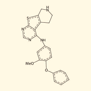 COc1cc(Nc2ncnc3sc4c(c23)CCNC4)ccc1Oc1ccccc1